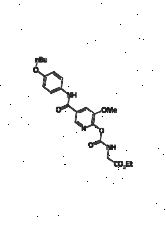 CCCCOc1ccc(NC(=O)c2cnc(OC(=O)NCC(=O)OCC)c(OC)c2)cc1